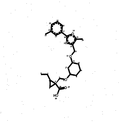 CCC1C[C@@]1(COC1CCCC(OCc2nc(-c3cccc(C)c3)oc2C)C1)C(=O)O